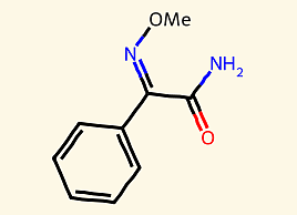 CON=C(C(N)=O)c1ccccc1